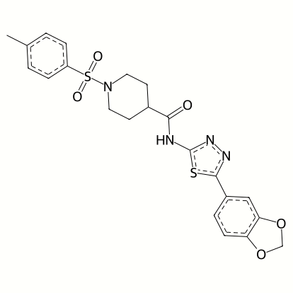 Cc1ccc(S(=O)(=O)N2CCC(C(=O)Nc3nnc(-c4ccc5c(c4)OCO5)s3)CC2)cc1